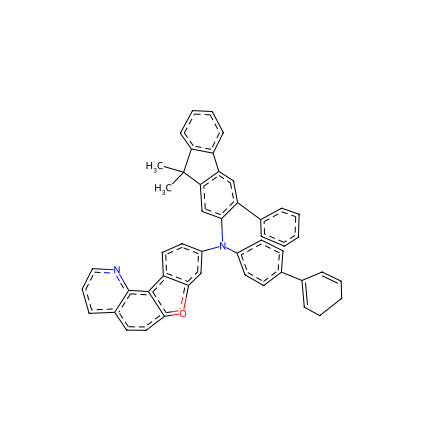 CC1(C)c2ccccc2-c2cc(-c3ccccc3)c(N(c3ccc(C4=CCCC=C4)cc3)c3ccc4c(c3)oc3ccc5cccnc5c34)cc21